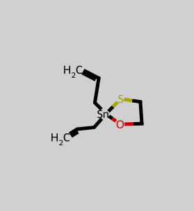 C=C[CH2][Sn]1([CH2]C=C)[O]CC[S]1